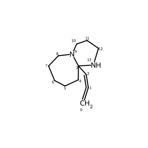 C=C=CC12CCCCCN1CCCN2